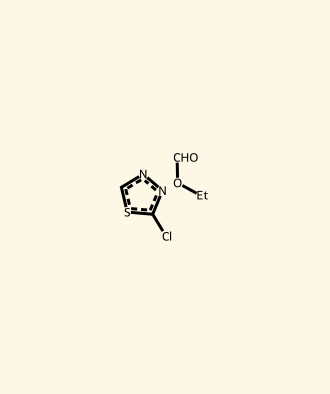 CCOC=O.Clc1nncs1